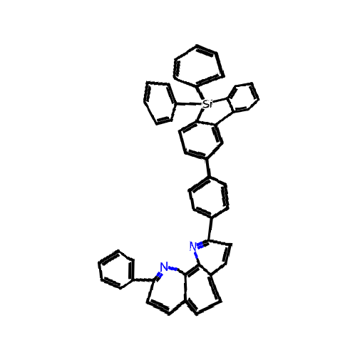 c1ccc(-c2ccc3ccc4ccc(-c5ccc(-c6ccc7c(c6)-c6ccccc6[Si]7(c6ccccc6)c6ccccc6)cc5)nc4c3n2)cc1